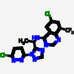 CC(Nc1ncnc2c(C(F)(F)F)cc(Cl)cc12)c1ncnn1-c1ccc(Cl)nn1